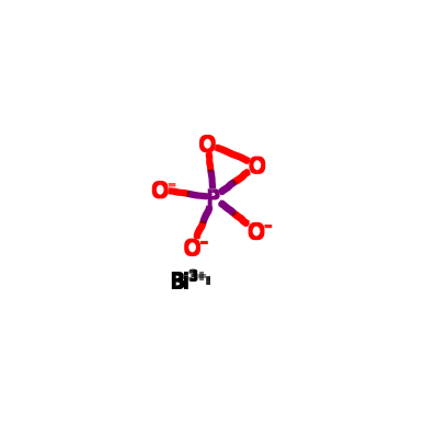 [Bi+3].[O-]P1([O-])([O-])OO1